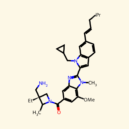 CC[C@@]1(CN)CN(C(=O)c2cc(OC)c3c(c2)nc(-c2cc4ccc(/C=C/CC(C)C)cc4n2CC2CC2)n3C)C1C